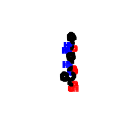 O=C(O)CC1CCC(=O)N(CC(=O)NCc2ccc(NC(=O)NCc3ccccc3)cc2)c2ccccc21